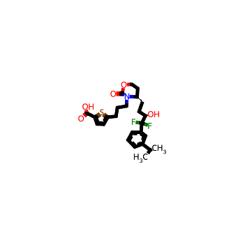 CC(C)c1cccc(C(F)(F)[C@H](O)CC[C@H]2CCOC(=O)N2CCCc2ccc(C(=O)O)s2)c1